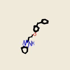 c1ccc(Cc2ccc(OCCCC3=NC4CCCCC4N3)cc2)cc1